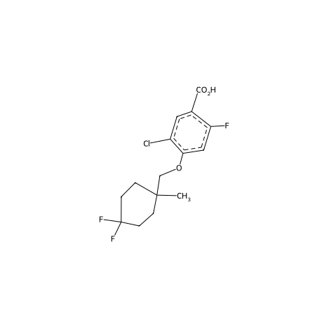 CC1(COc2cc(F)c(C(=O)O)cc2Cl)CCC(F)(F)CC1